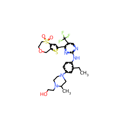 CCc1cc(N2CCN(CCO)C(C)C2)ccc1Nc1ncc(C(F)(F)F)c(-c2cc3c(s2)COCCS3(=O)=O)n1